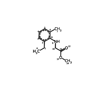 CCc1cccc(C)c1NCC(=O)OC